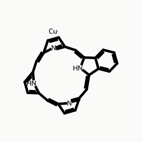 C1=Cc2cc3[nH]c(cc4nc(cc5ccc(cc1n2)[nH]5)C=C4)c1ccccc31.[Cu]